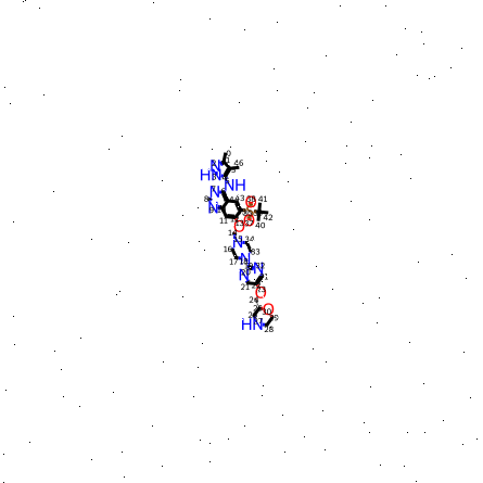 Cc1n[nH]c(Nc2ncnc3cc(OCN4CCN(c5ncc(OC[C@H]6CNCCO6)cn5)CC4)c(S(=O)(=O)C(C)(C)C)cc23)c1C